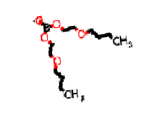 CCCCOCCOB([O])OCCOCCCC